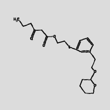 CCCC(=O)CC(=O)OCCSc1cccc(CCOC2CCCCO2)c1